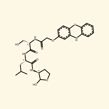 CC(C)C[C@H](NC(=O)[C@H](CO)NC(=O)COc1ccc2c(c1)Nc1ccccc1S2)C(=O)N[C@H]1CCOC1O